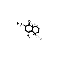 CC1CC=C2C(C)(C)CCCC2(C)C1=O